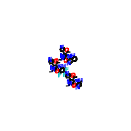 CCn1nc(-c2ccncc2)c(C(C)=O)c(Nc2cc(F)c(F)c(F)c2)c1=O.CCn1nc(-c2ccncc2)c(C(C)=O)c(Nc2cncc3ccccc23)c1=O.CCn1nc(-c2ccncc2)c(C(C)=O)c(Nc2cnccc2C)c1=O